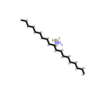 Br.CCCCCCCCCCCCCCCCCCC.N